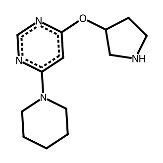 c1nc(OC2CCNC2)cc(N2CCCCC2)n1